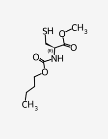 CCCCOC(=O)N[C@@H](CS)C(=O)OC